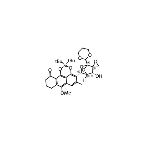 COc1c2c(c3c4c(c([C@@H]5O[C@@]6(C7OCCCO7)O[C@@H]5[C@@H](O)[C@@]65CO5)c(C)cc14)O[Si](C(C)(C)C)(C(C)(C)C)O3)C(=O)CCC2